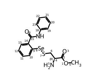 COC(=O)[C@@H](N)CS[Se]c1ccccc1C(=O)Nc1ccccc1